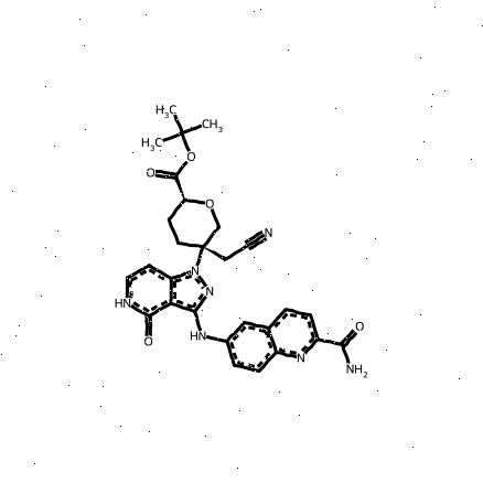 CC(C)(C)OC(=O)[C@@H]1CC[C@@](CC#N)(n2nc(Nc3ccc4nc(C(N)=O)ccc4c3)c3c(=O)[nH]ccc32)CO1